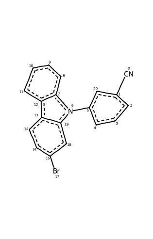 N#Cc1cccc(-n2c3ccccc3c3ccc(Br)cc32)c1